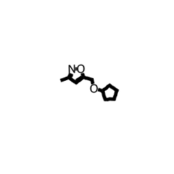 Cc1cc(COC2CCCC2)on1